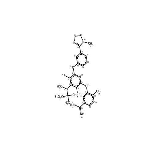 CCOC(=O)C(C)(C)N(C)c1c(F)c(Oc2cccc(C3=NCCN3C)c2)nc(Oc2cc(C(=N)N)ccc2O)c1F